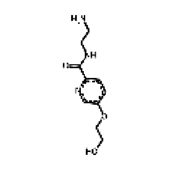 NCCNC(=O)c1ccc(OCCO)cn1